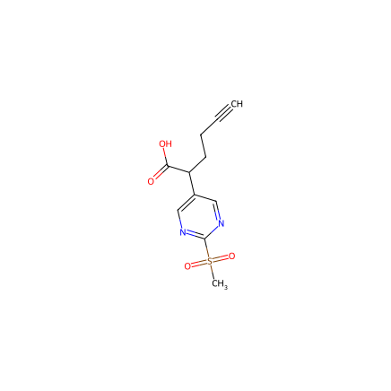 C#CCCC(C(=O)O)c1cnc(S(C)(=O)=O)nc1